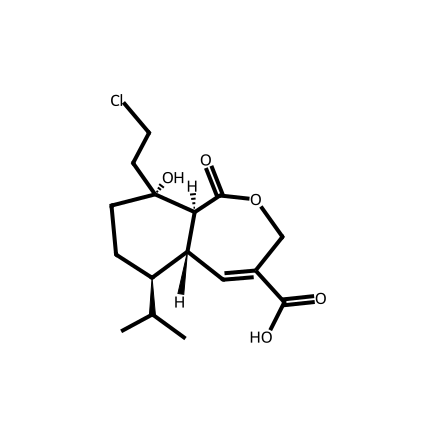 CC(C)[C@H]1CC[C@@](O)(CCCl)[C@H]2C(=O)OCC(C(=O)O)=C[C@H]12